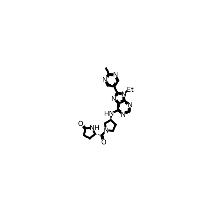 CCn1c(-c2cnc(C)nc2)nc2c(N[C@H]3CCN(C(=O)[C@@H]4CCC(=O)N4)C3)ncnc21